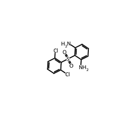 Nc1cccc(N)c1S(=O)(=O)c1c(Cl)cccc1Cl